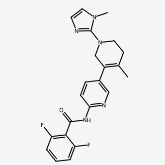 CC1=C(c2ccc(NC(=O)c3c(F)cccc3F)nc2)CN(c2nccn2C)CC1